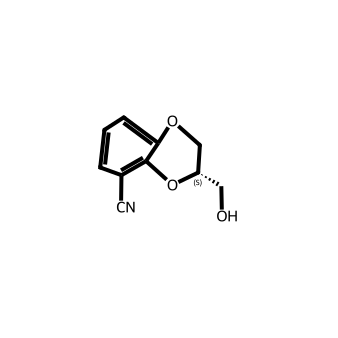 N#Cc1cccc2c1O[C@@H](CO)CO2